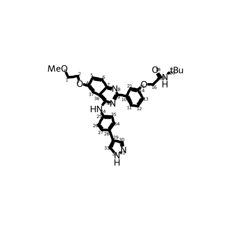 COCCOc1ccc2nc(-c3cccc(OCC(=O)NC(C)(C)C)c3)nc(Nc3ccc(-c4cn[nH]c4)cc3)c2c1